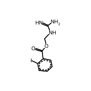 N=C(N)NCOC(=O)c1ccccc1I